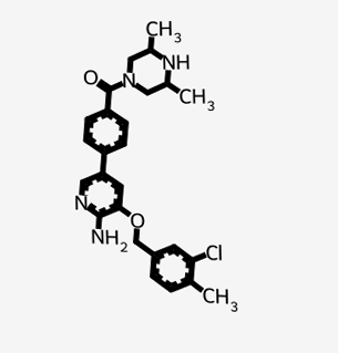 Cc1ccc(COc2cc(-c3ccc(C(=O)N4CC(C)NC(C)C4)cc3)cnc2N)cc1Cl